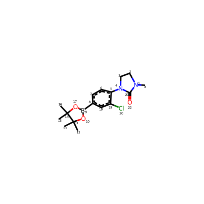 CN1CCN(c2ccc(B3OC(C)(C)C(C)(C)O3)cc2Cl)C1=O